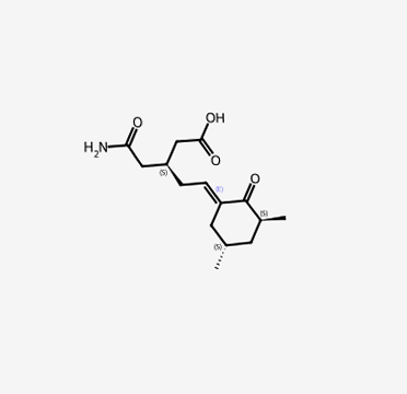 C[C@@H]1C/C(=C\C[C@@H](CC(N)=O)CC(=O)O)C(=O)[C@@H](C)C1